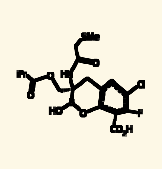 CSCC(=O)N[C@@]1(COC(=O)C(C)C)Cc2cc(Cl)c(F)c(C(=O)O)c2OB1O